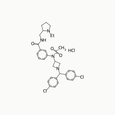 CCN1CCCC1CNC(=O)c1cccc(N(C2CN(C(c3ccc(Cl)cc3)c3ccc(Cl)cc3)C2)S(C)(=O)=O)c1.Cl